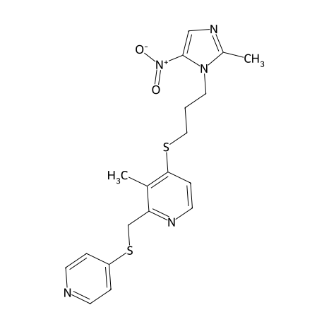 Cc1c(SCCCn2c([N+](=O)[O-])cnc2C)ccnc1CSc1ccncc1